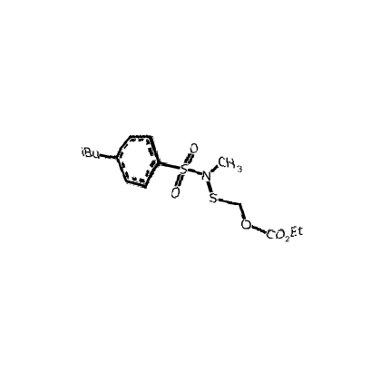 CCOC(=O)OCSN(C)S(=O)(=O)c1ccc(C(C)CC)cc1